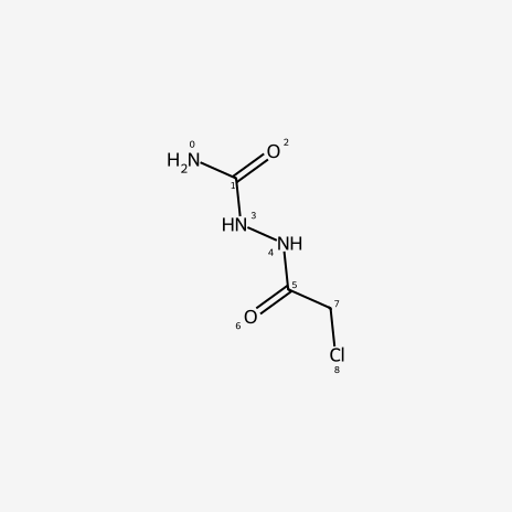 NC(=O)NNC(=O)CCl